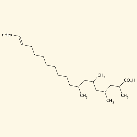 CCCCCCC=CCCCCCCCCC(C)CC(C)CC(C)CC(C)C(=O)O